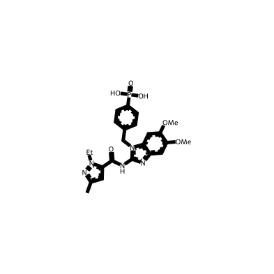 CCn1nc(C)cc1C(=O)Nc1nc2cc(OC)c(OC)cc2n1Cc1ccc(P(=O)(O)O)cc1